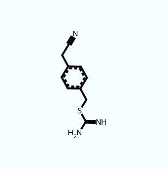 N#CCc1ccc(CSC(=N)N)cc1